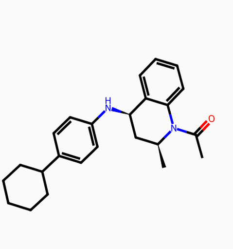 CC(=O)N1c2ccccc2[C@H](Nc2ccc(C3CCCCC3)cc2)C[C@@H]1C